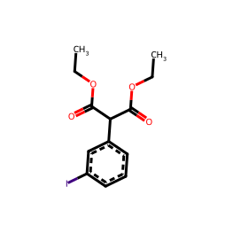 CCOC(=O)C(C(=O)OCC)c1cccc(I)c1